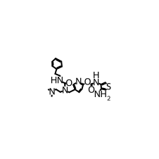 CN(C)CCN(Cc1ccc(OC(=O)Nc2cscc2N)nc1)C(=O)NCCc1ccccc1